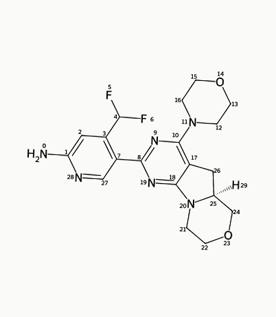 Nc1cc(C(F)F)c(-c2nc(N3CCOCC3)c3c(n2)N2CCOC[C@@H]2C3)cn1